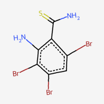 NC(=S)c1c(Br)cc(Br)c(Br)c1N